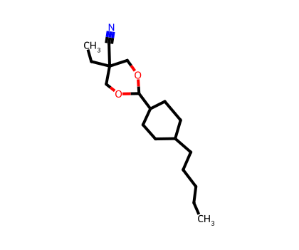 CCCCCC1CCC(C2OCC(C#N)(CC)CO2)CC1